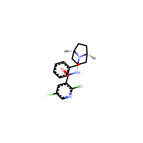 O=C(N[C@@H]1C[C@H]2CC[C@@H](C1)N2Cc1ccccc1)c1cc(F)cnc1Cl